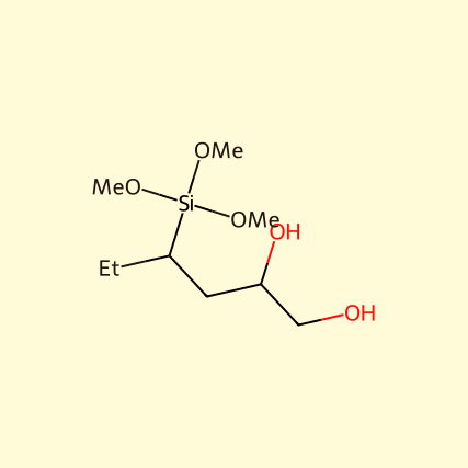 CCC(CC(O)CO)[Si](OC)(OC)OC